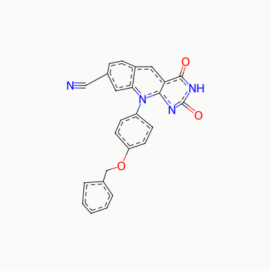 N#Cc1ccc2cc3c(=O)[nH]c(=O)nc-3n(-c3ccc(OCc4ccccc4)cc3)c2c1